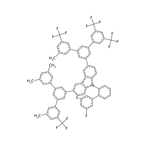 Cc1cc(C)cc(-c2cc(-c3cc(C)cc(C(F)(F)F)c3)cc(-c3ccc4c(c3)c3cc(-c5cc(-c6cc(C)cc(C(F)(F)F)c6)cc(-c6cc(C(F)(F)F)cc(C(F)(F)F)c6)c5)ccc3n4-c3ccccc3-c3cc(F)cc(F)c3)c2)c1